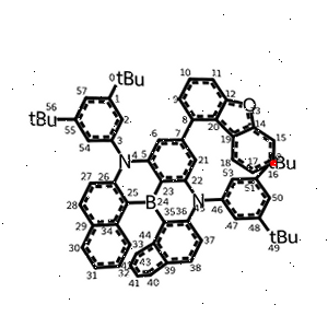 CC(C)(C)c1cc(N2c3cc(-c4cccc5oc6ccccc6c45)cc4c3B(c3c2ccc2ccccc32)c2c(ccc3ccccc23)N4c2cc(C(C)(C)C)cc(C(C)(C)C)c2)cc(C(C)(C)C)c1